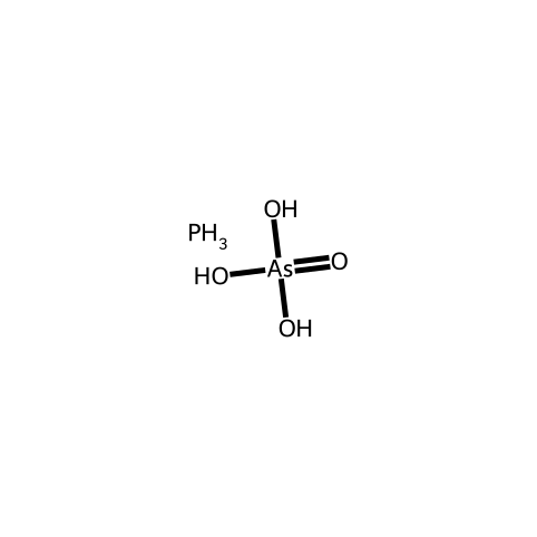 O=[As](O)(O)O.P